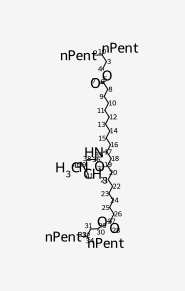 CCCCCC(CCCCC)CCOC(=O)CCCCCCCCCC(CCCCCCCCCC(=O)OCCC(CCCCC)CCCCC)NC(=O)CN(C)C